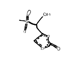 CS(=O)(=O)C(O)c1coc(=O)o1